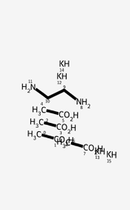 CC(=O)O.CC(=O)O.CC(=O)O.CC(=O)O.NCCN.[KH].[KH].[KH].[KH]